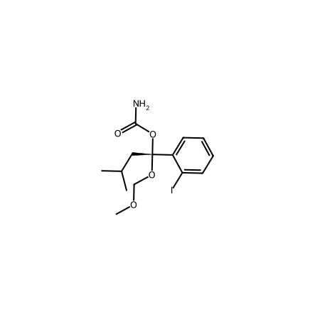 COCO[C@](CC(C)C)(OC(N)=O)c1ccccc1I